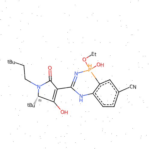 CCO[PH]1(O)N=C(C2=C(O)[C@H](C(C)(C)C)N(CCC(C)(C)C)C2=O)Nc2ccc(C#N)cc21